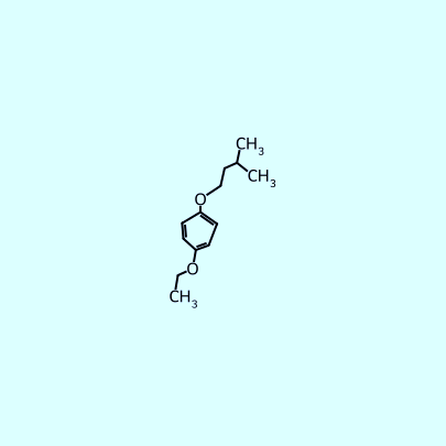 CCOc1ccc(OCCC(C)C)cc1